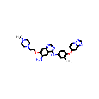 Cc1cc(Nc2ncnc3cc(OCCN4CCN(C)CC4)c(N)cc23)ccc1Oc1ccn2ncnc2c1